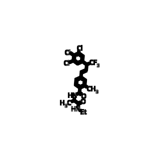 CCNC(=O)C(C)NC(=O)c1ccc(/C=C/C(c2cc(Cl)c(Cl)c(Cl)c2)C(F)(F)F)cc1C